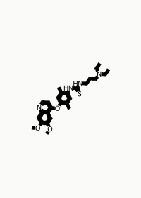 CCN(CC)CCCNC(=S)Nc1cc(C)c(Oc2ccnc3cc(OC)c(OC)cc23)cc1C